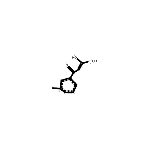 CCOC(=O)/C(O)=C/C(=O)c1cccc(C)c1